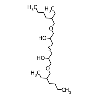 CCCCC(CC)COCC(O)CSCC(O)COCC(CC)CCCC